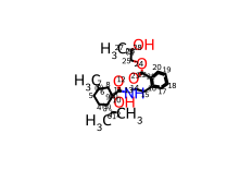 CC(C)[C@@H]1CC[C@@H](C)C[C@@]1(O)C(=O)NCCc1ccccc1C(=O)OC[C@H](C)O